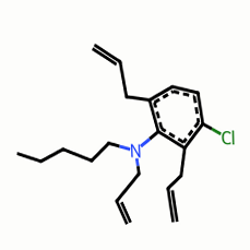 C=CCc1ccc(Cl)c(CC=C)c1N(CC=C)CCCCC